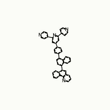 c1cnc2c(c1)cc(-c1ccc(-c3ccc(-c4cc(-c5ccncc5)nc(-c5ccncc5)c4)cc3)c3ccccc13)c1ccccc12